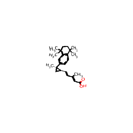 CC(/C=C/[C@H]1C[C@@]1(C)c1ccc2c(c1)C(C)(C)CCC2(C)C)=C\C(=O)O